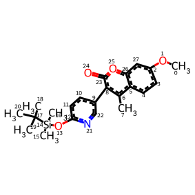 COc1ccc2c(C)c(-c3ccc(O[Si](C)(C)C(C)(C)C)nc3)c(=O)oc2c1